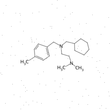 Cc1ccc(CN(CCN(C)C)CC2CCCCC2)cc1